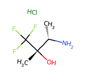 C[C@H](N)[C@](C)(O)C(F)(F)F.Cl